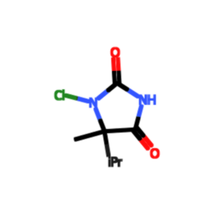 CC(C)C1(C)C(=O)NC(=O)N1Cl